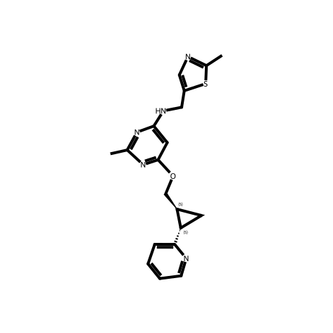 Cc1nc(NCc2cnc(C)s2)cc(OC[C@H]2C[C@@H]2c2ccccn2)n1